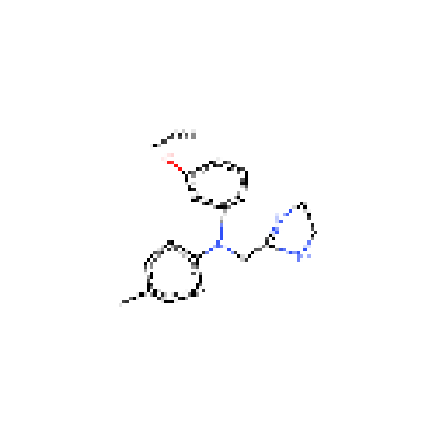 CC(=O)O.Cc1ccc(N(CC2=NCCN2)c2cccc(O)c2)cc1